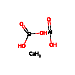 O=[Si](O)O.[CaH2].[O]=[Al][OH]